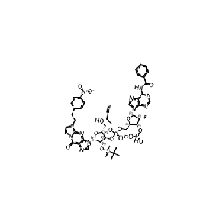 CC(C)(C)[Si](C)(C)O[C@@H]1[C@H](OP(=O)(OCCC#N)OC[C@H]2O[C@@H](n3cnc4c(NC(=O)c5ccccc5)ncnc43)[C@H](F)[C@@H]2O[PH](=O)O)[C@@H](CO)O[C@H]1n1cnc2c(=O)n3ccn(CCc4ccc([N+](=O)[O-])cc4)c3nc21